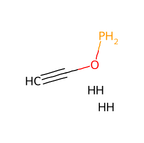 C#COP.[HH].[HH]